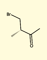 CC(=O)[C@H](C)CBr